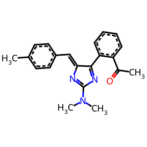 CC(=O)c1ccccc1C1=NC(N(C)C)=N/C1=C\c1ccc(C)cc1